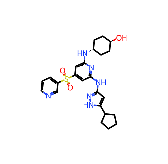 O=S(=O)(c1cccnc1)c1cc(Nc2cc(C3CCCC3)[nH]n2)nc(N[C@H]2CC[C@H](O)CC2)c1